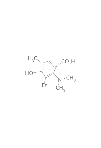 CCc1c(O)c(C)cc(C(=O)O)c1N(C)C